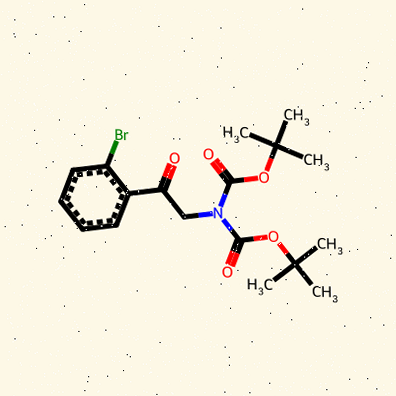 CC(C)(C)OC(=O)N(CC(=O)c1ccccc1Br)C(=O)OC(C)(C)C